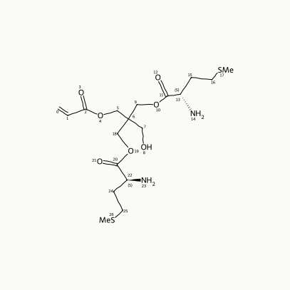 C=CC(=O)OCC(CO)(COC(=O)[C@@H](N)CCSC)COC(=O)[C@@H](N)CCSC